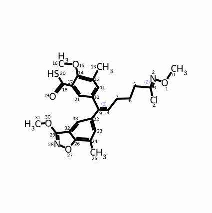 CO/N=C(\Cl)CCC/C=C(\c1cc(C)c(OC)c(C(=O)S)c1)c1cc(C)c2onc(OC)c2c1